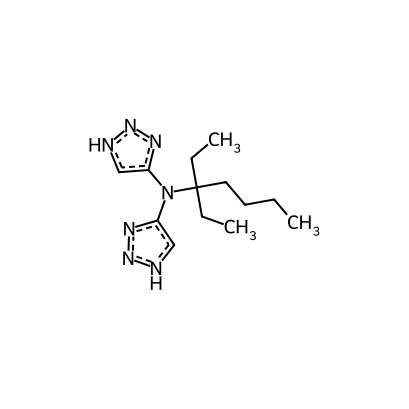 CCCCC(CC)(CC)N(c1c[nH]nn1)c1c[nH]nn1